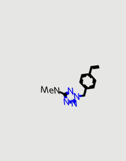 C=Cc1ccc(Cn2nnc(NC)n2)cc1